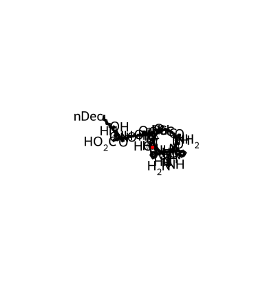 CCCCCCCCCCCCCCCCC(=O)NCC(=O)NC(CCC(=O)O)C(=O)NCCOCCOCC(=O)N[C@@H](CCCC)C(=O)N[C@H]1CCC(=O)CNCCCC[C@@H](C(N)=O)NC(=O)[C@H](Cc2c[nH]c3ccccc23)NC(=O)[C@H](CCCNC(=N)N)NC(=O)C(Cc2ccccc2)NC(=O)[C@@H]2C[C@@H](O)CN2C1=O